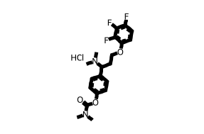 CN(C)C(=O)Oc1ccc(C(CCOc2ccc(F)c(F)c2F)N(C)C)cc1.Cl